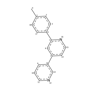 Cc1ccc(-c2cc(-c3cccnc3)ccn2)cc1